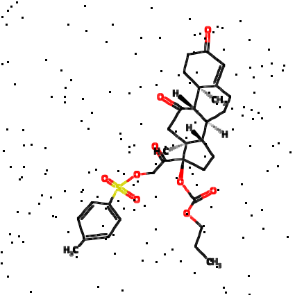 CCCOC(=O)O[C@]1(C(=O)COS(=O)(=O)c2ccc(C)cc2)CC[C@H]2[C@@H]3CCC4=CC(=O)CC[C@]4(C)[C@H]3C(=O)C[C@@]21C